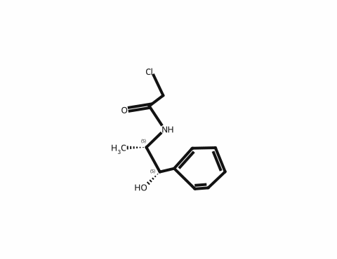 C[C@H](NC(=O)CCl)[C@@H](O)c1ccccc1